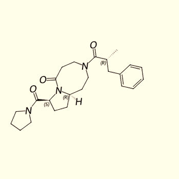 C[C@H](Cc1ccccc1)C(=O)N1CCC(=O)N2[C@H](CC[C@H]2C(=O)N2CCCC2)CC1